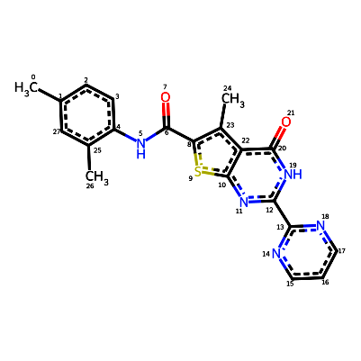 Cc1ccc(NC(=O)c2sc3nc(-c4ncccn4)[nH]c(=O)c3c2C)c(C)c1